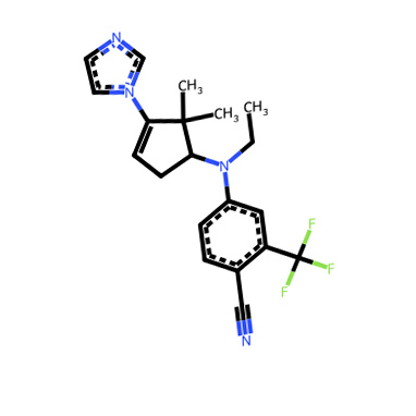 CCN(c1ccc(C#N)c(C(F)(F)F)c1)C1CC=C(n2ccnc2)C1(C)C